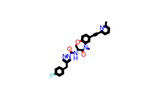 Cc1cccc(C#Cc2ccc3c(c2)N(C)C(=O)C(NC(=O)n2cc(Cc4ccc(F)cc4)cn2)CO3)n1